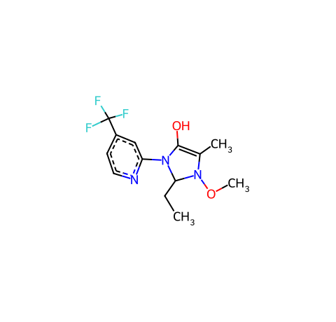 CCC1N(OC)C(C)=C(O)N1c1cc(C(F)(F)F)ccn1